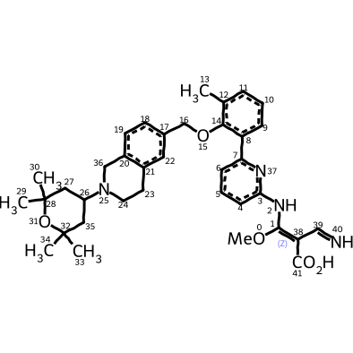 CO/C(Nc1cccc(-c2cccc(C)c2OCc2ccc3c(c2)CCN(C2CC(C)(C)OC(C)(C)C2)C3)n1)=C(/C=N)C(=O)O